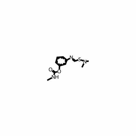 CNC(=O)Oc1cccc(N=CSN(C)C)c1